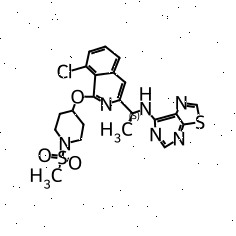 C[C@H](Nc1ncnc2scnc12)c1cc2cccc(Cl)c2c(OC2CCN(S(C)(=O)=O)CC2)n1